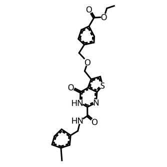 CCOC(=O)c1ccc(COCc2csc3nc(C(=O)NCc4cccc(C)c4)[nH]c(=O)c23)cc1